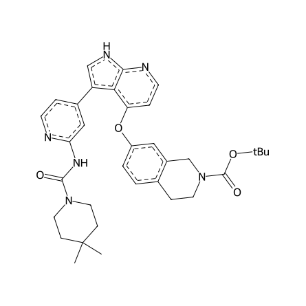 CC1(C)CCN(C(=O)Nc2cc(-c3c[nH]c4nccc(Oc5ccc6c(c5)CN(C(=O)OC(C)(C)C)CC6)c34)ccn2)CC1